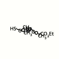 CCOC(=O)CC(C)c1ccc(OCc2ccc3nc(-c4c(C)cc(OCCCS)cc4C)nn3c2)cc1